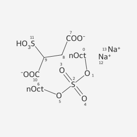 CCCCCCCCOS(=O)(=O)OCCCCCCCC.O=C([O-])CC(C(=O)[O-])S(=O)(=O)O.[Na+].[Na+]